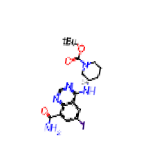 CC(C)(C)OC(=O)N1CCC[C@H](Nc2ncnc3c(C(N)=O)cc(I)cc23)C1